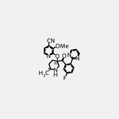 COc1c(C#N)ccnc1O[C@]1(C(=O)c2cc(F)ccc2-c2ncccn2)CC[C@@H](C)NC1